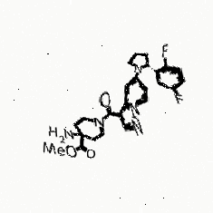 COC(=O)C1(N)CCN(C(=O)c2cnn3ccc(N4CCC[C@@H]4c4cc(F)ccc4F)cc23)CC1